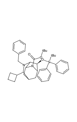 CC(C)(C)OC(=O)N1C2CC3CC1[C@H](O[Si](c1ccccc1)(c1ccccc1)C(C)(C)C)C2N(Cc1ccccc1)C3C1CCC1